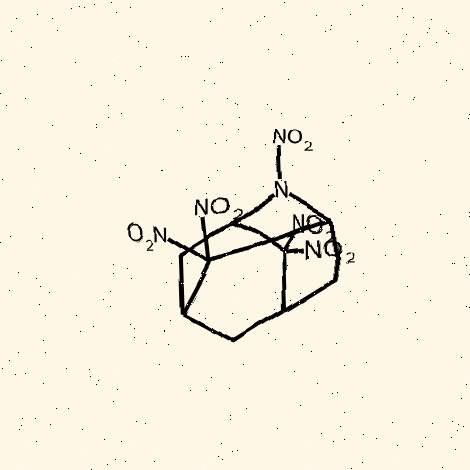 O=[N+]([O-])N1C2CC3CC(CC1C3([N+](=O)[O-])[N+](=O)[O-])C2([N+](=O)[O-])[N+](=O)[O-]